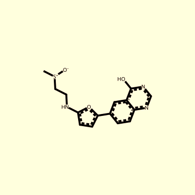 C[S+]([O-])CCNc1ccc(-c2ccc3ncnc(O)c3c2)o1